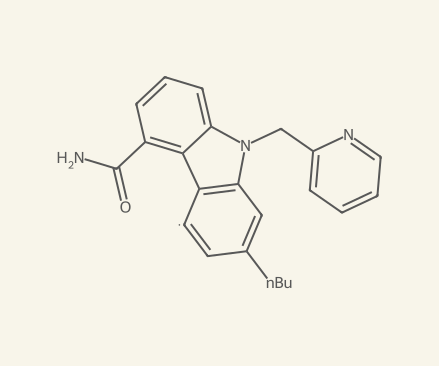 CCCCc1c[c]c2c3c(C(N)=O)cccc3n(Cc3ccccn3)c2c1